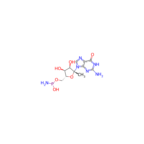 C[C@@]1(n2cnc3c(=O)[nH]c(N)nc32)O[C@H](COP(N)O)[C@@H](O)[C@H]1O